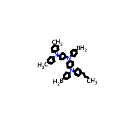 Bc1ccc(N(c2ccc(CCCC)cc2)c2ccc(N(c3ccc(B)cc3)c3ccc(N(c4ccc(C)cc4)c4ccc(C)cc4)cc3)cc2)cc1